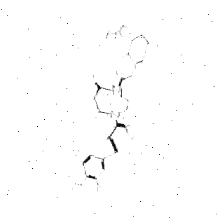 O=C(/C=C/c1ccc(Cl)c(Cl)c1)N1CCC(=O)N(CCN2CCC[C@H](O)C2)CC1